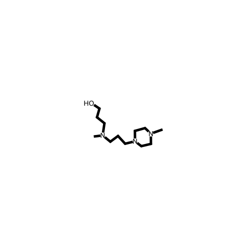 CN(CCCO)CCCN1CCN(C)CC1